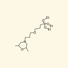 CCO[Si](CCCOC[CH]CN1CC(C)OC(C)C1)(OCC)OCC